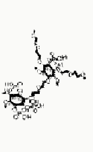 COCCOCCO[C@@H]1[C@@H](OC)[C@@H](OCCOCCO[C@H]2[C@@H](OP(=O)(O)O)[C@H](OC)[C@@H](OC)[C@H](OP(=O)(O)O)[C@H]2OP(=O)(O)O)[C@@H](OC)[C@H](OCCOCCOC)[C@H]1OP(=O)(O)O